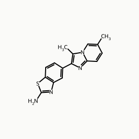 Cc1ccc2nc(-c3ccc4sc(N)nc4c3)c(C)n2c1